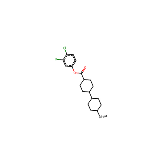 CCCCCC1CCC(C2CCC(C(=O)Oc3ccc(Cl)c(F)c3)CC2)CC1